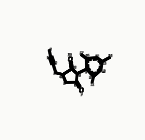 CC#CCC1CC(=O)C(c2c(C)cc(C)cc2C)C1=O